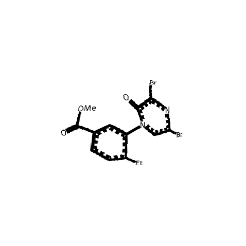 CCc1ccc(C(=O)OC)cc1-n1cc(Br)nc(Br)c1=O